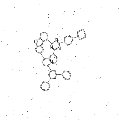 c1ccc(-c2ccc(-c3nc(-c4ccccc4)nc(-c4cccc5oc6ccc(-c7ccc(-c8cc(-c9ccccc9)cc(-c9ccccc9)c8)nc7)cc6c45)n3)cc2)cc1